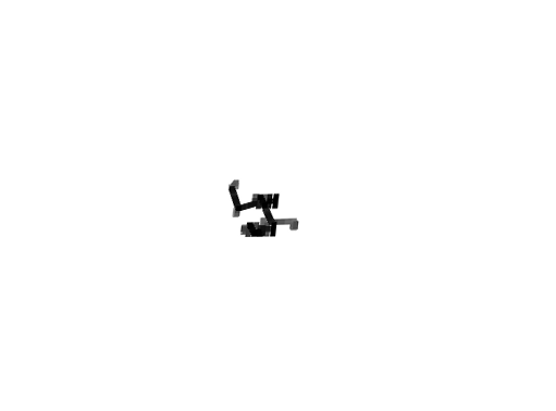 CCNCC.[NaH]